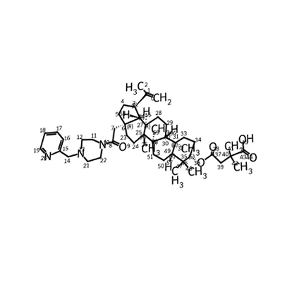 C=C(C)[C@@H]1CC[C@]2(CC(=O)N3CCN(Cc4ccccn4)CC3)CC[C@]3(C)[C@H](CC[C@@H]4[C@@]5(C)CC[C@H](OC(=O)CC(C)(C)C(=O)O)C(C)(C)[C@@H]5CC[C@]43C)[C@@H]12